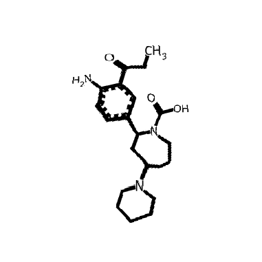 CCC(=O)c1cc(C2CC(N3CCCCC3)CCN2C(=O)O)ccc1N